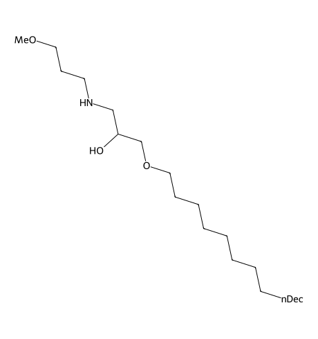 CCCCCCCCCCCCCCCCCCOCC(O)CNCCCOC